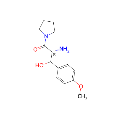 COc1ccc(C(O)[C@@H](N)C(=O)N2CCCC2)cc1